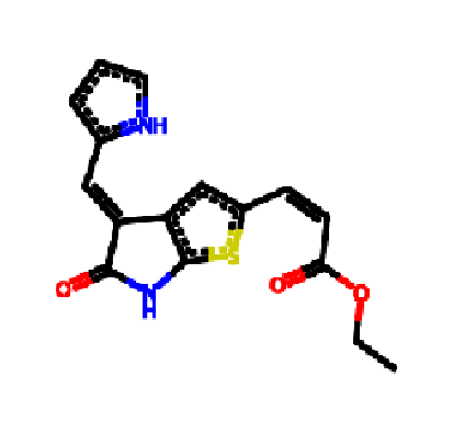 CCOC(=O)/C=C\c1cc2c(s1)NC(=O)C2=Cc1ccc[nH]1